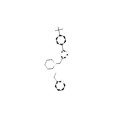 FC(F)(F)c1ccc(-c2noc(CN3CCCC[C@H]3CCc3ccccn3)n2)cc1